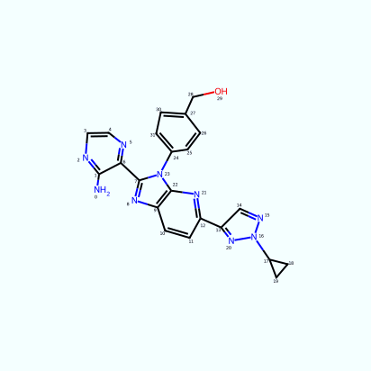 Nc1nccnc1-c1nc2ccc(-c3cnn(C4CC4)n3)nc2n1-c1ccc(CO)cc1